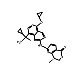 C[C@@H]1COC(=O)c2ccc(Nc3cc4c(C(C)(N)C5CC5)cnc(OC5CC5)c4cn3)nc21